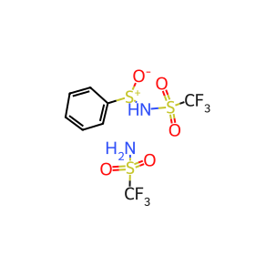 NS(=O)(=O)C(F)(F)F.O=S(=O)(N[S+]([O-])c1ccccc1)C(F)(F)F